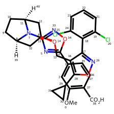 COc1cc(-c2nc(N3[C@@H]4CC[C@H]3C[C@@H](OCc3c(-c5c(Cl)cccc5Cl)noc3C3CC3)C4)no2)ccc1C(=O)O